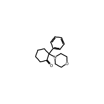 O=C1CCCCC1(c1ccccc1)N1CCOCC1